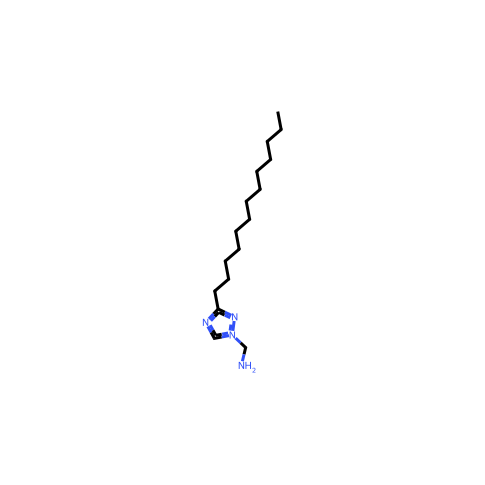 CCCCCCCCCCCCCc1ncn(CN)n1